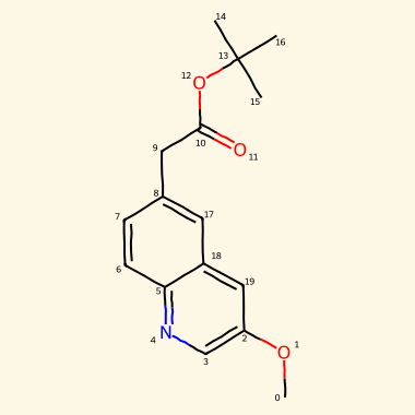 COc1cnc2ccc(CC(=O)OC(C)(C)C)cc2c1